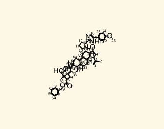 C=C(C)C1CC[C@]2(C(=O)N3CCCC3c3ncc(-c4ccc(OC)cc4)[nH]3)CC[C@]3(C)[C@H](CC[C@@H]4[C@]5(C)CC[C@H]([C@@]6(C(=O)O)C[C@@H](C(=O)OCc7ccccc7)C6(C)C)C(C)(C)[C@H]5CC[C@]43C)[C@@H]12